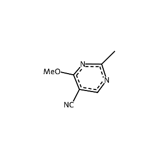 COc1nc(C)ncc1C#N